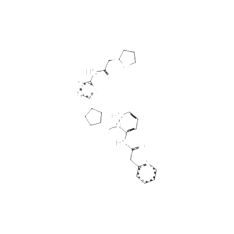 O=C(Cc1ccccn1)NC1=CC=CNN1C[C@@H]1CC[C@H](c2nnc(NC(=O)C[C@H]3CCCO3)s2)C1